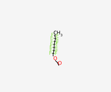 CC(F)(F)C(F)(F)C(F)(F)C(F)(F)C(F)(F)C(F)(F)C(F)(F)COCC1CO1